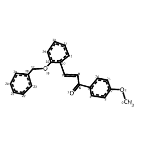 COc1ccc(C(=O)C=Cc2ccccc2OCc2ccccc2)cc1